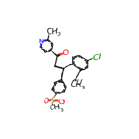 Cc1cc(C(=O)CC(c2ccc(S(C)(=O)=O)cc2)c2ccc(Cl)cc2C)ccn1